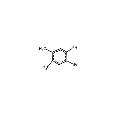 Cc1cc(S)c(C(C)C)cc1C